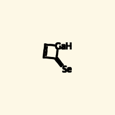 [Se]=[C]1C=[CH][GaH]1